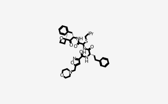 CC(C)CSC(NC(=O)[C@H](CCc1ccccc1)NC(=O)c1cc(CN2CCOCC2)on1)C(=O)N[C@@H](Cc1ccccc1)C(=O)[C@@]1(C)CCO1